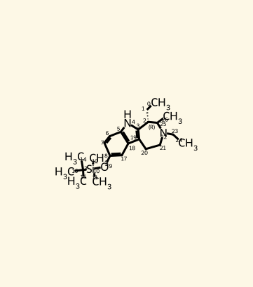 CC[C@H]1c2[nH]c3ccc(O[Si](C)(C)C(C)(C)C)cc3c2CCN(CC)C1C